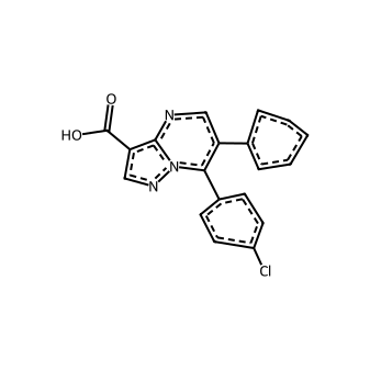 O=C(O)c1cnn2c(-c3ccc(Cl)cc3)c(-c3ccccc3)cnc12